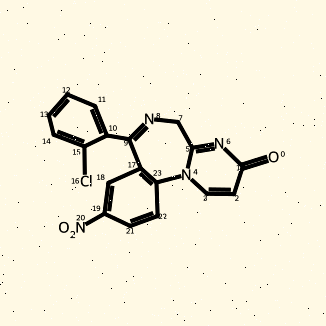 O=c1ccn2c(n1)CN=C(c1ccccc1Cl)c1cc([N+](=O)[O-])ccc1-2